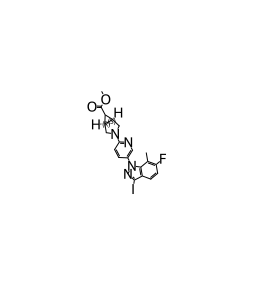 COC(=O)C1[C@H]2CN(c3ccc(-n4nc(I)c5ccc(F)c(C)c54)cn3)C[C@@H]12